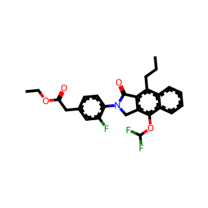 CCCc1c2c(c(OC(F)F)c3ccccc13)CN(c1ccc(CC(=O)OCC)cc1F)C2=O